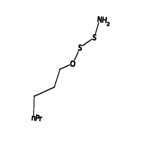 CCCCCCOSSN